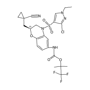 CCn1cc(S(=O)(=O)N2C[C@H](CC3(C#N)CC3)Oc3ccc(NC(=O)OC(C)(C)C(F)(F)F)cc32)c(Cl)n1